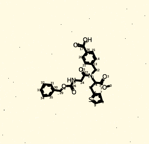 COC(=O)C(Cc1cccs1)N(Cc1ccc(C(=O)O)cc1)C(=O)CNC(=O)OCc1ccccc1